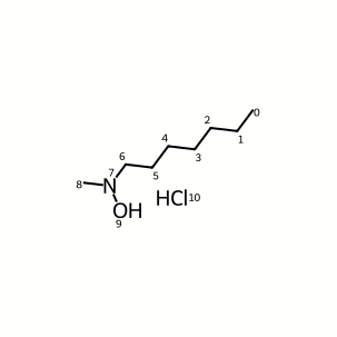 CCCCCCCN(C)O.Cl